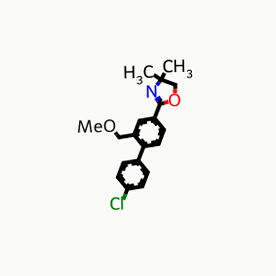 COCc1cc(C2=NC(C)(C)CO2)ccc1-c1ccc(Cl)cc1